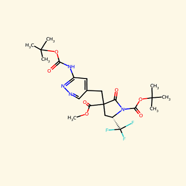 COC(=O)C1(Cc2cnnc(NC(=O)OC(C)(C)C)c2)C[C@@H](C(F)(F)F)N(C(=O)OC(C)(C)C)C1=O